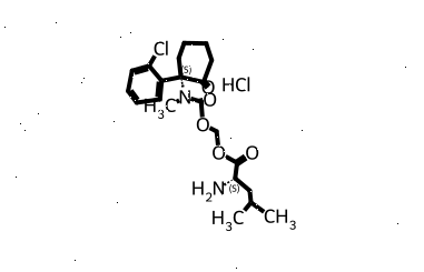 CC(C)C[C@H](N)C(=O)OCOC(=O)N(C)[C@]1(c2ccccc2Cl)CCCCC1=O.Cl